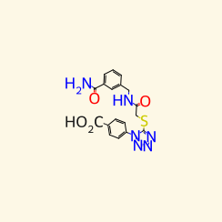 NC(=O)c1cccc(CNC(=O)CSc2nnnn2-c2ccc(C(=O)O)cc2)c1